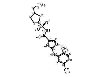 COCC1CCN(S(=O)(=O)NC(=O)c2coc(Nc3cc(C(F)(F)F)ccc3C)n2)C1